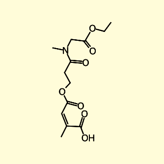 CCOC(=O)CN(C)C(=O)CCOC(=O)C=C(C)C(=O)O